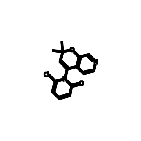 CC1(C)C=C(n2c(Cl)cccc2=O)c2ccncc2O1